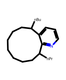 CCCCC1CCCCCCCC(CCC)c2ncccc21